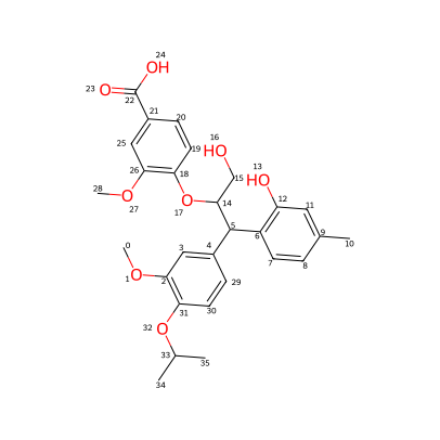 COc1cc(C(c2ccc(C)cc2O)C(CO)Oc2ccc(C(=O)O)cc2OC)ccc1OC(C)C